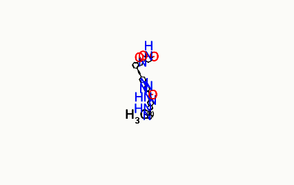 CN1CCC[C@@H]1c1cc2cnc(NC(=O)c3cnc(N4CCC(C#Cc5cccc6c5CN(C5CCC(=O)NC5=O)C6=O)CC4)nc3)cc2[nH]1